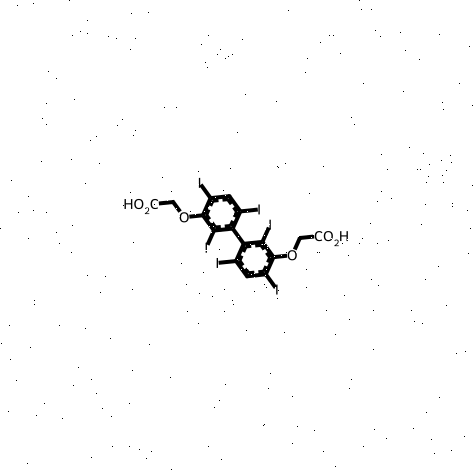 O=C(O)COc1c(I)cc(I)c(-c2c(I)cc(I)c(OCC(=O)O)c2I)c1I